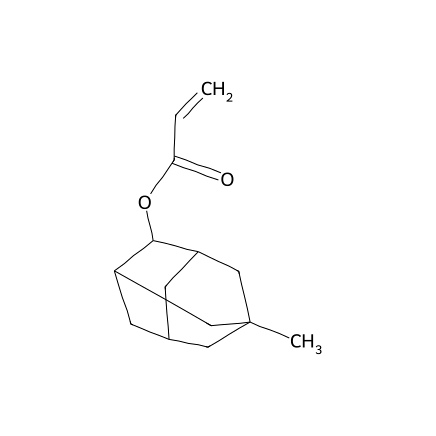 C=CC(=O)OC1C2CC3CC1CC(C)(C3)C2